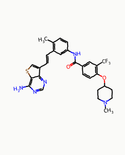 Cc1ccc(NC(=O)c2ccc(OC3CCN(C)CC3)c(C(F)(F)F)c2)cc1/C=C/c1csc2c(N)ncnc12